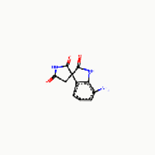 Nc1cccc2c1NC(=O)C21CC(=O)NC1=O